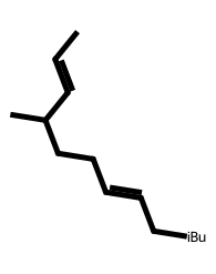 CC=CC(C)CCC=CCC(C)CC